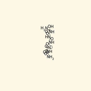 NCC(=O)N[C@@H](CO)C(=O)N1CCCC1C(=O)NCC(=O)NCC(=O)N[C@@H](CO)C(N)=O